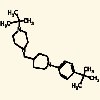 CC(C)(C)c1ccc(N2CCC(CN3CCN(C(C)(C)C)CC3)CC2)cc1